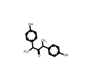 CC(C(=O)C(C)c1ccc(O)cc1)c1ccc(O)cc1